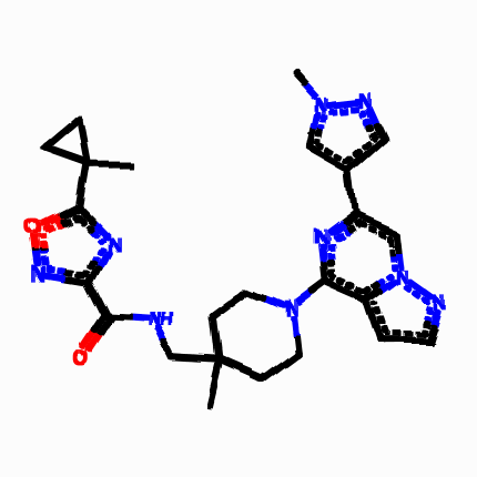 Cn1cc(-c2cn3nccc3c(N3CCC(C)(CNC(=O)c4noc(C5(C)CC5)n4)CC3)n2)cn1